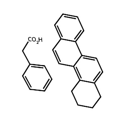 O=C(O)Cc1ccccc1.c1ccc2c(c1)ccc1c3c(ccc12)CCCC3